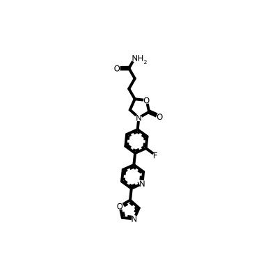 NC(=O)CCC1CN(c2ccc(-c3ccc(-c4cnco4)nc3)c(F)c2)C(=O)O1